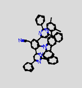 Cc1ccc(-c2ccc3c4ccccc4n(-c4c(-c5cc(-c6ccccc6)nc(-c6ccccc6)n5)cc(C#N)cc4-c4cc(-c5ccccc5)nc(-c5ccccc5)n4)c3c2)c(C)c1